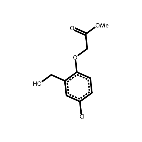 COC(=O)COc1ccc(Cl)cc1CO